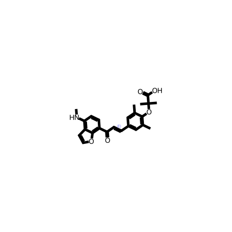 CNc1ccc(C(=O)/C=C/c2cc(C)c(OC(C)(C)C(=O)O)c(C)c2)c2occc12